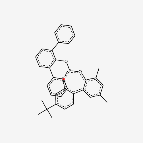 Cc1cc(C)c2op(Oc3c(-c4ccccc4)cccc3-c3ccccc3)oc3cc(C(C)(C)C)ccc3c2c1